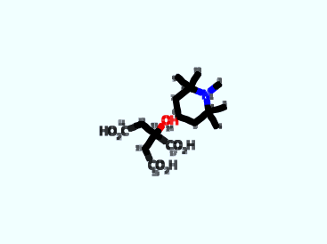 CN1C(C)(C)CCCC1(C)C.O=C(O)CC(O)(CC(=O)O)C(=O)O